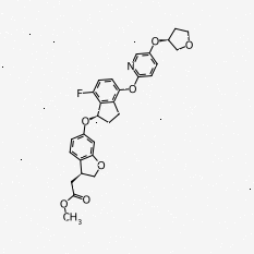 COC(=O)C[C@@H]1COc2cc(O[C@@H]3CCc4c(Oc5ccc(O[C@H]6CCOC6)cn5)ccc(F)c43)ccc21